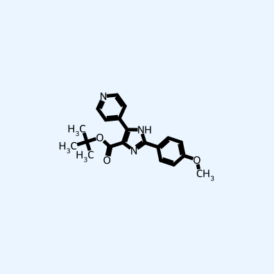 COc1ccc(-c2nc(C(=O)OC(C)(C)C)c(-c3ccncc3)[nH]2)cc1